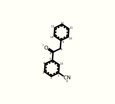 N#Cc1cccc(C(=O)Cc2ccccc2)c1